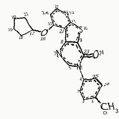 Cc1ccc(-n2cnc3c(sc4nccc(OC5CCCC5)c43)c2=O)cc1